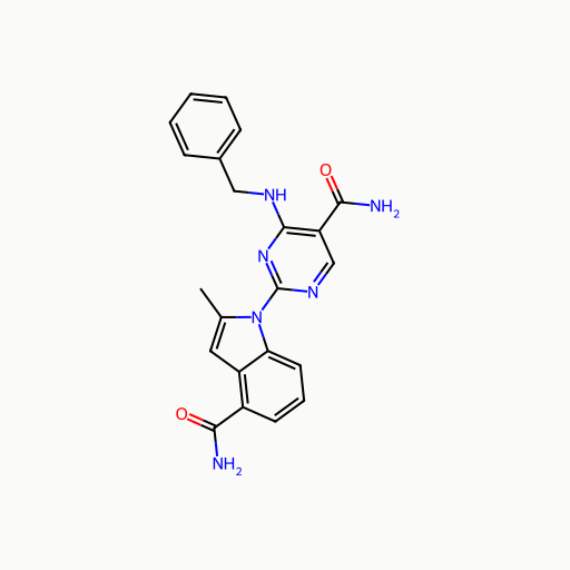 Cc1cc2c(C(N)=O)cccc2n1-c1ncc(C(N)=O)c(NCc2ccccc2)n1